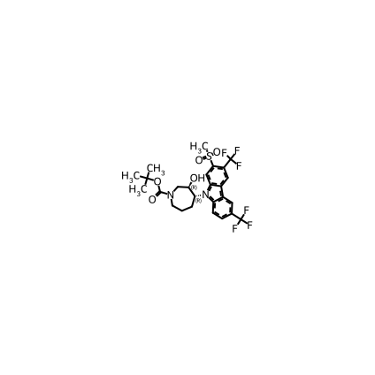 CC(C)(C)OC(=O)N1CCC[C@@H](n2c3ccc(C(F)(F)F)cc3c3cc(C(F)(F)F)c(S(C)(=O)=O)cc32)[C@H](O)C1